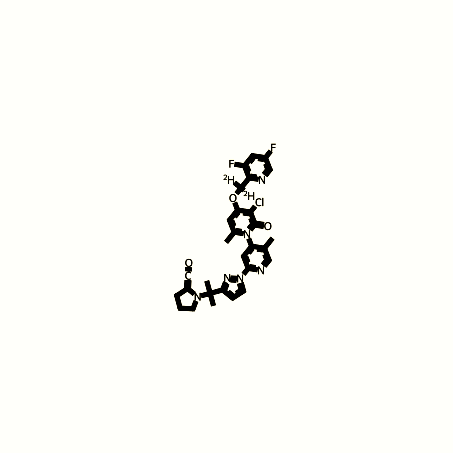 [2H]C([2H])(Oc1cc(C)n(-c2cc(-n3ccc(C(C)(C)N4CCCC4=C=O)n3)ncc2C)c(=O)c1Cl)c1ncc(F)cc1F